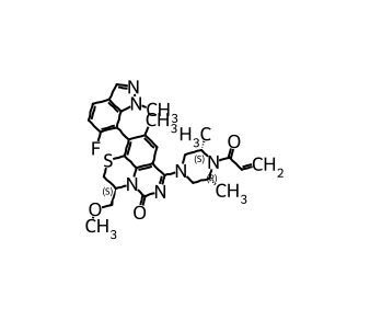 C=CC(=O)N1[C@H](C)CN(c2nc(=O)n3c4c(c(-c5c(F)ccc6cnn(C)c56)c(C)cc24)SC[C@@H]3COC)C[C@@H]1C